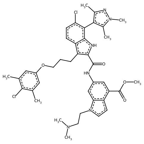 COC(=O)c1cc(NC(=O)c2[nH]c3c(-c4c(C)nn(C)c4C)c(Cl)ccc3c2CCCOc2cc(C)c(Cl)c(C)c2)cc2c1ccn2CCN(C)C